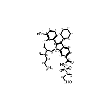 CCCc1cccc2c1OC[C@H](N(C)CCN)Cn1c-2c(C2CCCCC2)c2ccc(C(=O)NS(=O)(=O)N(C)CC=O)cc21